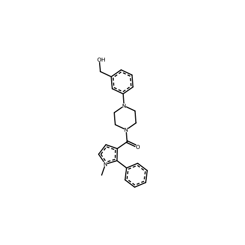 Cn1ccc(C(=O)N2CCN(c3cccc(CO)c3)CC2)c1-c1ccccc1